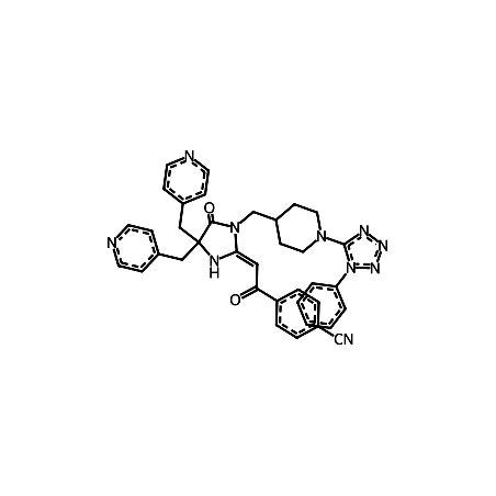 N#Cc1ccc(C(=O)C=C2NC(Cc3ccncc3)(Cc3ccncc3)C(=O)N2CC2CCN(c3nnnn3-c3ccccc3)CC2)cc1